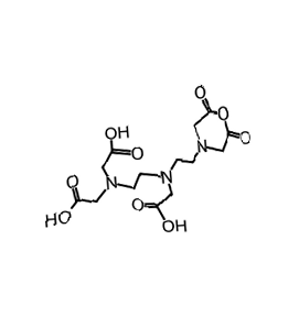 O=C(O)CN(CCN(CC(=O)O)CC(=O)O)CCN1CC(=O)OC(=O)C1